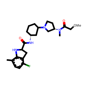 COCC(=O)N(C)[C@H]1CCN(C2CCC[C@@H](NC(=O)C3Cc4c(F)ccc(C)c4N3)C2)C1